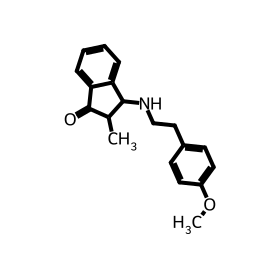 COc1ccc(CCNC2c3ccccc3C(=O)C2C)cc1